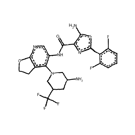 Nc1sc(-c2c(F)cccc2F)nc1C(=O)Nc1cnc2c(c1N1CC(N)CC(C(F)(F)F)C1)CCO2